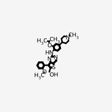 COc1ccccc1-c1c(CO)sc2cnc(Nc3ccc(C4CCN(C)CC4)cc3OC(C)C)nc12